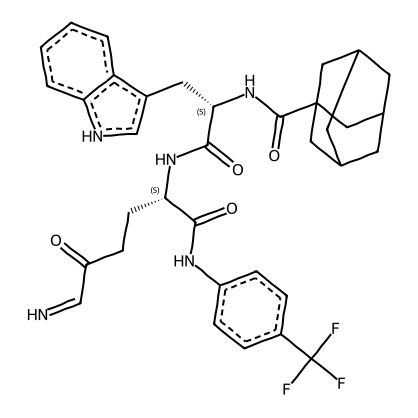 N=CC(=O)CC[C@H](NC(=O)[C@H](Cc1c[nH]c2ccccc12)NC(=O)C12CC3CC(CC(C3)C1)C2)C(=O)Nc1ccc(C(F)(F)F)cc1